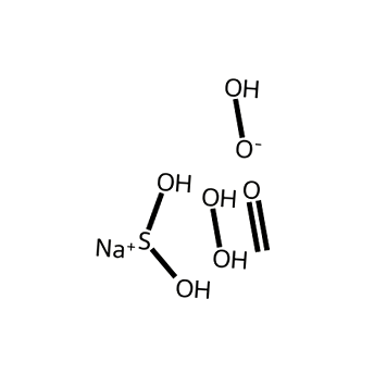 C=O.OO.OSO.[Na+].[O-]O